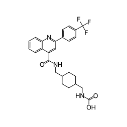 O=C(O)NCC1CCC(CNC(=O)c2cc(-c3ccc(C(F)(F)F)cc3)nc3ccccc23)CC1